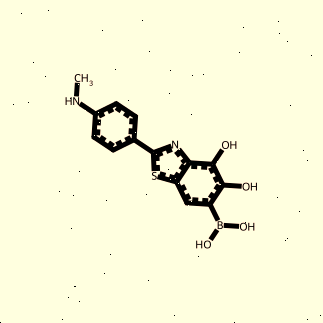 CNc1ccc(-c2nc3c(O)c(O)c(B(O)O)cc3s2)cc1